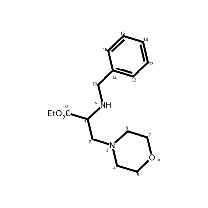 CCOC(=O)C(CN1CCOCC1)NCc1ccccc1